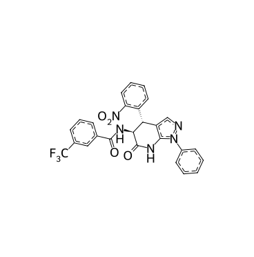 O=C(N[C@@H]1C(=O)Nc2c(cnn2-c2ccccc2)[C@H]1c1ccccc1[N+](=O)[O-])c1cccc(C(F)(F)F)c1